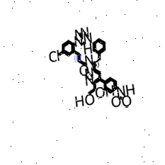 COC(=O)Nc1ccc(-c2cc([C@H](Cc3ccccc3)NC(=O)/C=C/c3cc(Cl)ccc3-n3cnnn3)nnc2C(O)CO)cc1